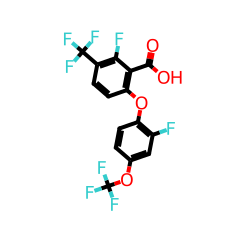 O=C(O)c1c(Oc2ccc(OC(F)(F)F)cc2F)ccc(C(F)(F)F)c1F